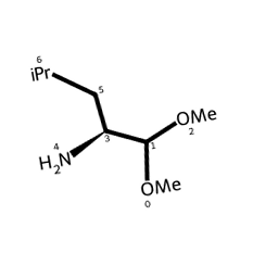 COC(OC)[C@@H](N)CC(C)C